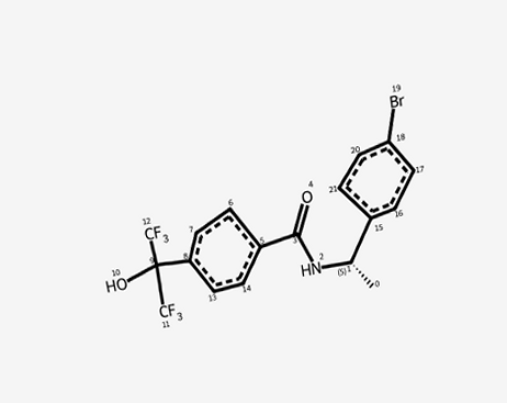 C[C@H](NC(=O)c1ccc(C(O)(C(F)(F)F)C(F)(F)F)cc1)c1ccc(Br)cc1